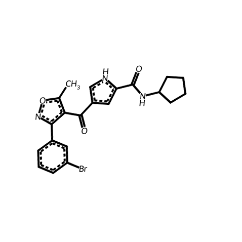 Cc1onc(-c2cccc(Br)c2)c1C(=O)c1c[nH]c(C(=O)NC2CCCC2)c1